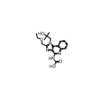 CCOCc1nc2c(NC(=O)O)nc3ccccc3c2n1CC(C)(C)O